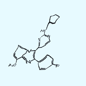 Oc1cccn2c(-c3ccnc(NC4CCCC4)n3)c(-c3ccc(F)cc3)nc12